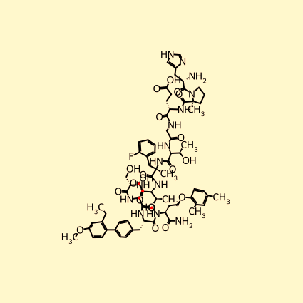 CCc1cc(OC)ccc1-c1ccc(C[C@H](NC(=O)[C@H](CC(=O)O)NC(=O)[C@H](CO)NC(=O)[C@@H](NC(=O)[C@](C)(Cc2ccccc2F)NC(=O)[C@@H](NC(=O)CNC(=O)[C@H](CCC(=O)O)NC(=O)[C@]2(C)CCCN2C(=O)[C@@H](N)Cc2c[nH]cn2)[C@@H](C)O)[C@@H](C)O)C(=O)N[C@@H](CCOc2ccc(C)cc2C)C(N)=O)cc1